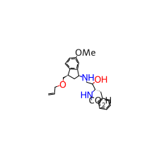 C=CCOC[C@@H]1C[C@H](NC[C@@H](O)[C@H](Cc2ccccc2)NC(=O)O)c2cc(OC)ccc21